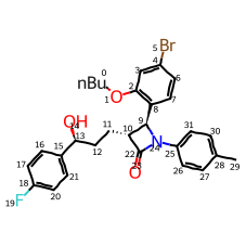 CCCCOc1cc(Br)ccc1[C@@H]1[C@@H](CC[C@H](O)c2ccc(F)cc2)C(=O)N1c1ccc(C)cc1